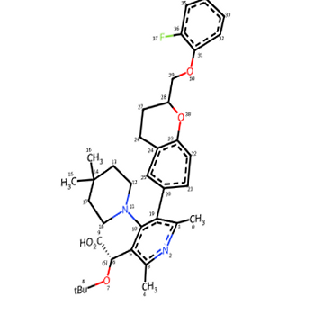 Cc1nc(C)c([C@H](OC(C)(C)C)C(=O)O)c(N2CCC(C)(C)CC2)c1-c1ccc2c(c1)CCC(COc1ccccc1F)O2